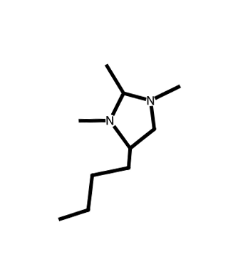 CCCCC1CN(C)C(C)N1C